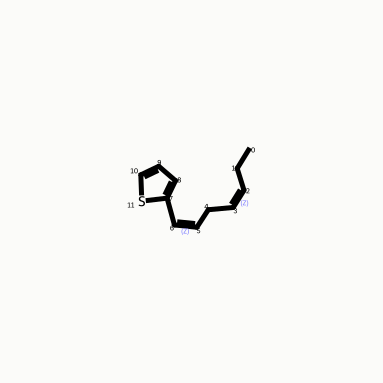 CC/C=C\C/C=C\c1cccs1